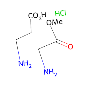 COC(=O)CN.Cl.NCCC(=O)O